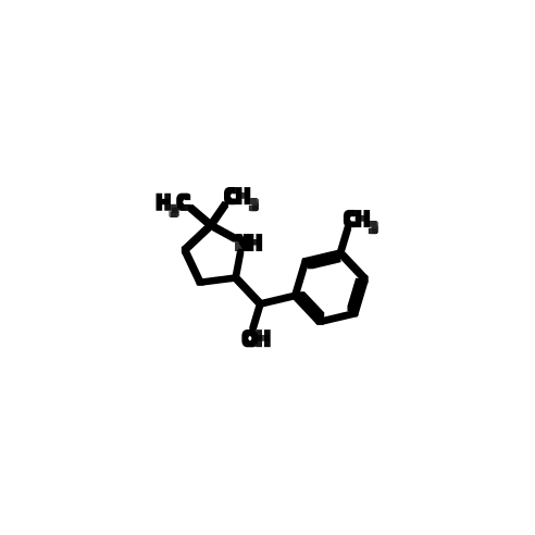 Cc1cccc(C(O)C2CCC(C)(C)N2)c1